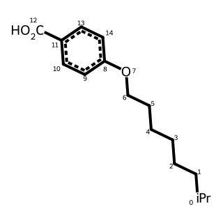 CC(C)CCCCCCOc1ccc(C(=O)O)cc1